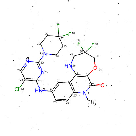 Cn1c(=O)c2c(c3cc(Nc4nc(N5CCC(F)(F)CC5)ncc4Cl)ccc31)NCC(F)(F)CO2